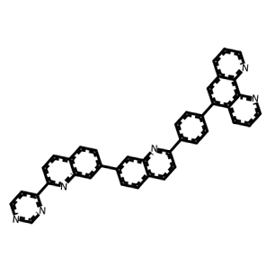 c1cnc2c(c1)cc(-c1ccc(-c3ccc4ccc(-c5ccc6ccc(-c7ccncn7)nc6c5)cc4n3)cc1)c1cccnc12